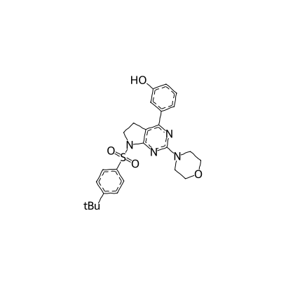 CC(C)(C)c1ccc(S(=O)(=O)N2CCc3c(-c4cccc(O)c4)nc(N4CCOCC4)nc32)cc1